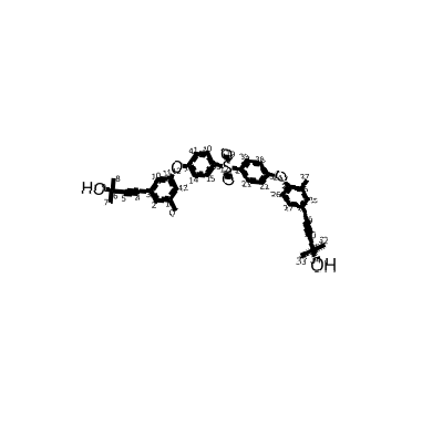 Cc1cc(C#CC(C)(C)O)cc(Oc2ccc(S(=O)(=O)c3ccc(Oc4ccc(C#CC(C)(C)O)cc4C)cc3)cc2)c1